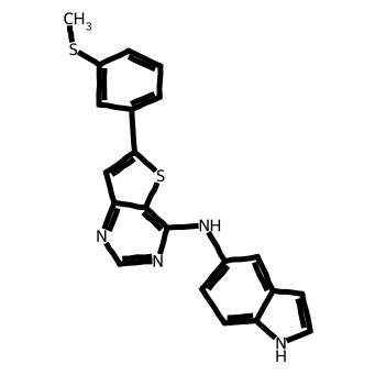 CSc1cccc(-c2cc3ncnc(Nc4ccc5[nH]ccc5c4)c3s2)c1